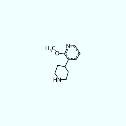 COc1ncccc1C1CCNCC1